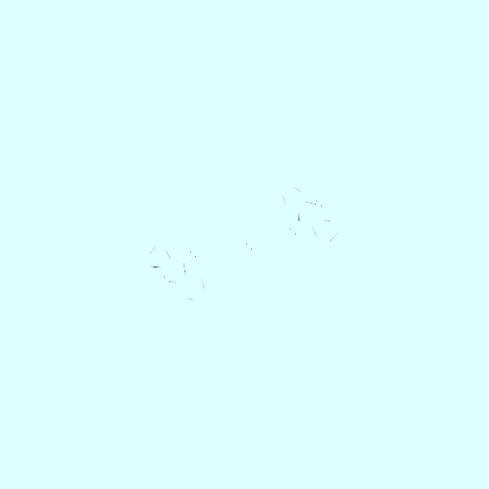 c1ccc2c(NCCCCNCCCNc3c4ccccc4nc4ccccc34)c3ccccc3nc2c1